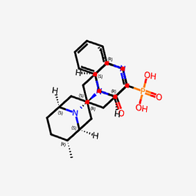 C[C@@H]1CC[C@@H]2C[C@H]1C[C@@H](N1[C@H]3CC[C@@H](C)[C@@H]1C[C@H](n1c(=O)c(P(=O)(O)O)nc4ccccc41)C3)C2